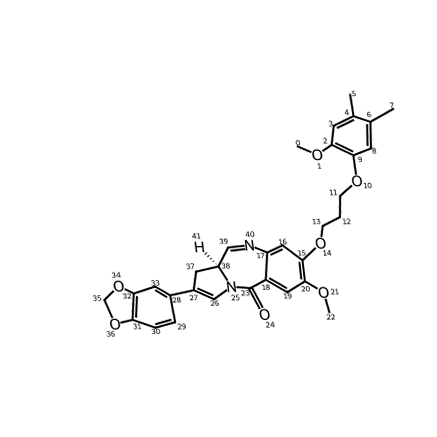 COc1cc(C)c(C)cc1OCCCOc1cc2c(cc1OC)C(=O)N1C=C(c3ccc4c(c3)OCO4)C[C@H]1C=N2